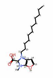 CCCCCCCCCCCCN1c2ccoc2N(C)C1C(=O)O